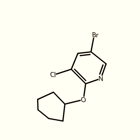 Clc1cc(Br)cnc1OC1CCCCC1